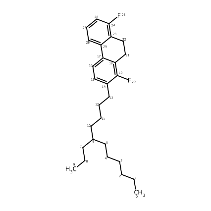 CCCCCCC(CCC)CCCCc1ccc2c(c1F)CCc1c(F)cccc1-2